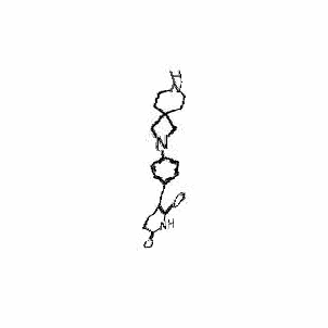 O=C1CCC(c2ccc(N3CC4(CCNCC4)C3)cc2)C(=O)N1